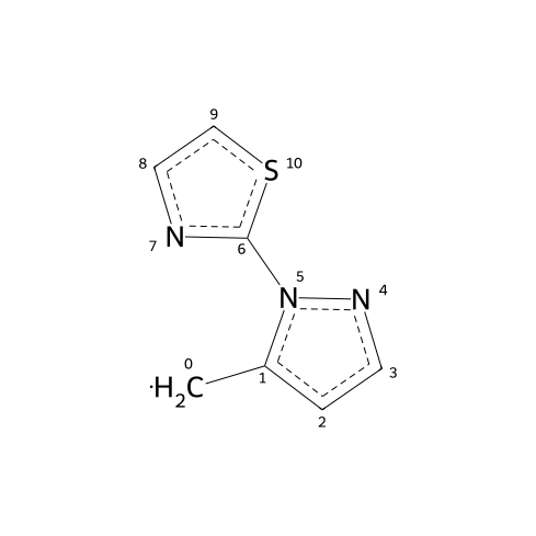 [CH2]c1ccnn1-c1nccs1